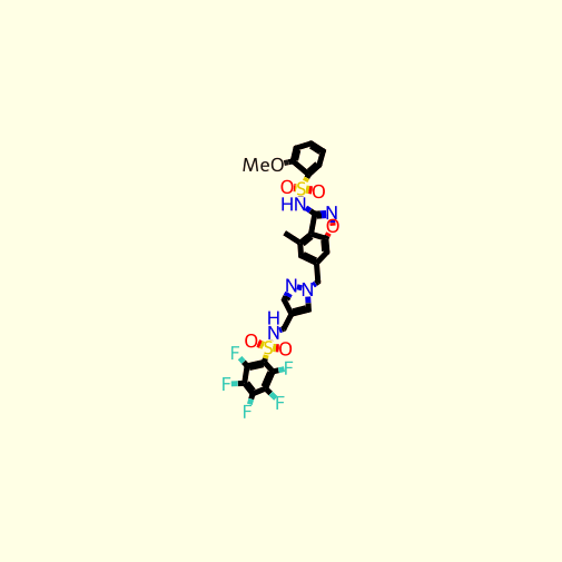 COc1ccccc1S(=O)(=O)Nc1noc2cc(Cn3cc(CNS(=O)(=O)c4c(F)c(F)c(F)c(F)c4F)cn3)cc(C)c12